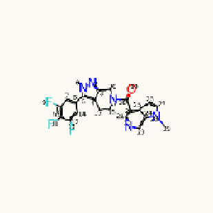 Cn1nc2c(c1-c1cc(F)c(F)c(F)c1)CCN(C(=O)c1cncc3c1ccn3C)C2